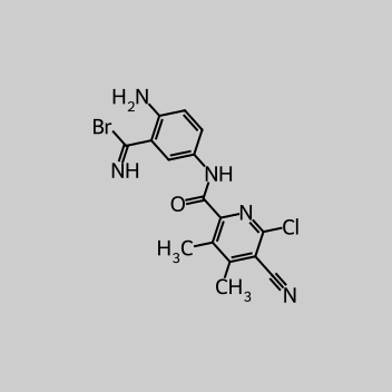 Cc1c(C(=O)Nc2ccc(N)c(C(=N)Br)c2)nc(Cl)c(C#N)c1C